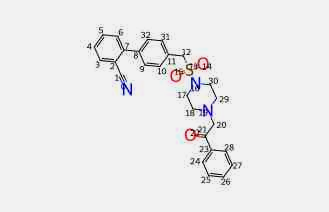 N#Cc1ccccc1-c1ccc(CS(=O)(=O)N2CCN(CC(=O)c3ccccc3)CC2)cc1